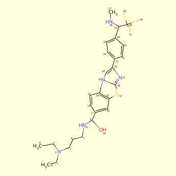 CCN(CC)CCCNC(O)c1ccc2c(c1)sc1nc(-c3ccc(C(NC)C(F)(F)F)cc3)cn12